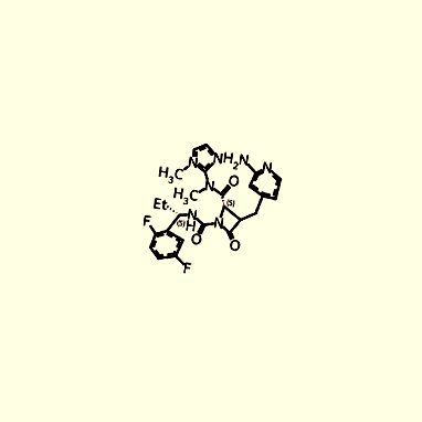 CC[C@H](NC(=O)N1C(=O)C(Cc2ccnc(N)c2)[C@H]1C(=O)N(C)c1nccn1C)c1cc(F)ccc1F